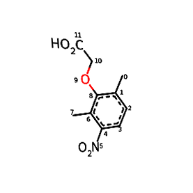 Cc1ccc([N+](=O)[O-])c(C)c1OCC(=O)O